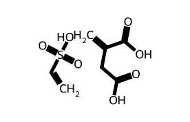 C=C(CC(=O)O)C(=O)O.C=CS(=O)(=O)O